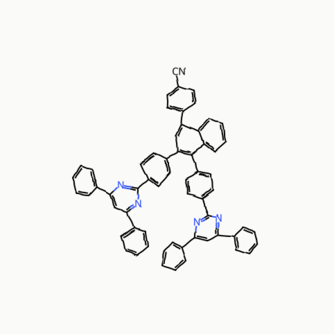 N#Cc1ccc(-c2cc(-c3ccc(-c4nc(-c5ccccc5)cc(-c5ccccc5)n4)cc3)c(-c3ccc(-c4nc(-c5ccccc5)cc(-c5ccccc5)n4)cc3)c3ccccc23)cc1